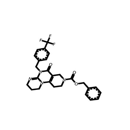 O=C(OCc1ccccc1)N1CCC2=C(C1)C(=O)N(Cc1ccc(C(F)(F)F)cc1)C1=NCCCN12